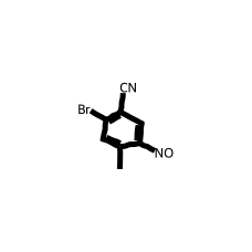 Cc1cc(Br)c(C#N)cc1N=O